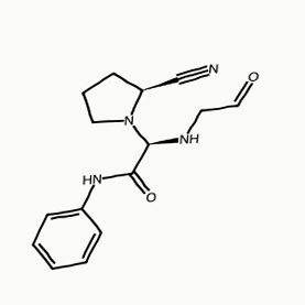 N#C[C@@H]1CCCN1[C@@H](NCC=O)C(=O)Nc1ccccc1